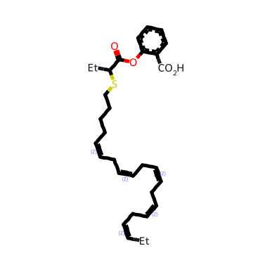 CC/C=C\C/C=C\C/C=C\C/C=C\C/C=C\CCCCSC(CC)C(=O)Oc1ccccc1C(=O)O